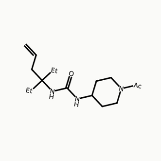 C=CCC(CC)(CC)NC(=O)NC1CCN(C(C)=O)CC1